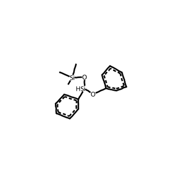 C[Si](C)(C)O[SiH](Oc1ccccc1)c1ccccc1